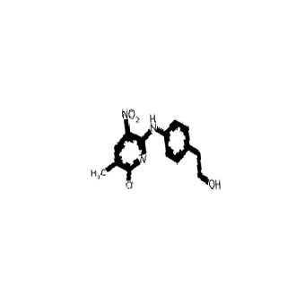 Cc1cc([N+](=O)[O-])c(Nc2ccc(CCO)cc2)nc1Cl